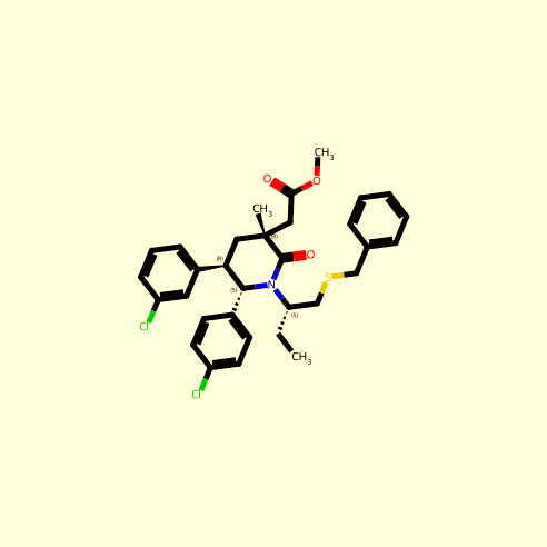 CC[C@@H](CSCc1ccccc1)N1C(=O)[C@@](C)(CC(=O)OC)C[C@H](c2cccc(Cl)c2)[C@H]1c1ccc(Cl)cc1